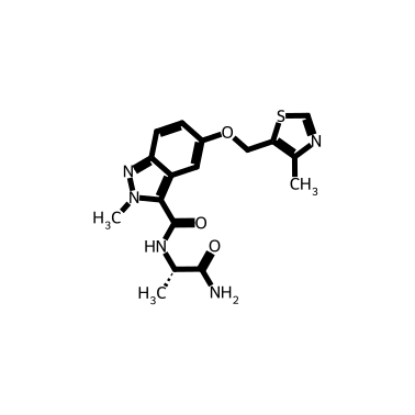 Cc1ncsc1COc1ccc2nn(C)c(C(=O)N[C@@H](C)C(N)=O)c2c1